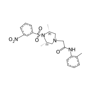 Cc1ccccc1NC(=O)CN1C[C@@H](C)N(S(=O)(=O)c2cccc([N+](=O)[O-])c2)[C@@H](C)C1